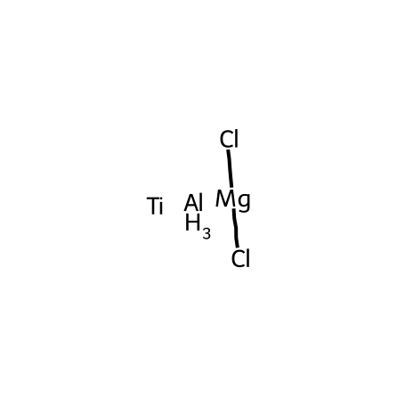 [AlH3].[Cl][Mg][Cl].[Ti]